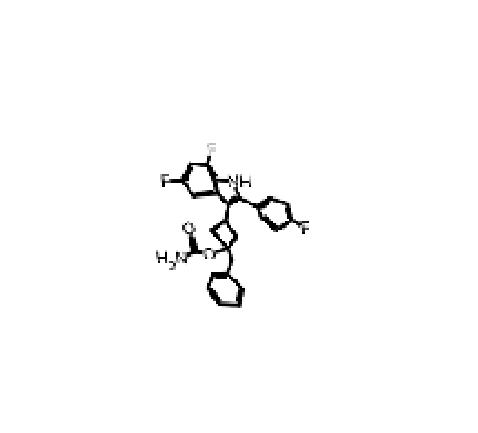 NC(=O)OC1(Cc2ccccc2)CC(c2c(-c3ccc(F)cc3)[nH]c3c(F)cc(F)cc23)C1